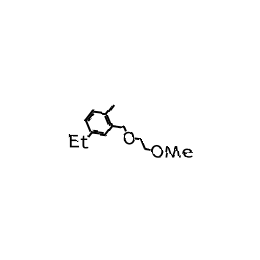 CCc1ccc(C)c(COCCOC)c1